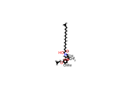 COc1ccc([C@@H]2CN(C(O)C(=O)CCCCCCCCCCCCCCC3CC3)C[C@@]2(C)[C@@H](C)O)cc1OCC1CC1